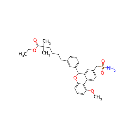 CCOC(=O)C(C)(C)CCCCc1cccc(C2Oc3cccc(OC)c3-c3ccc(CS(N)(=O)=O)cc32)c1